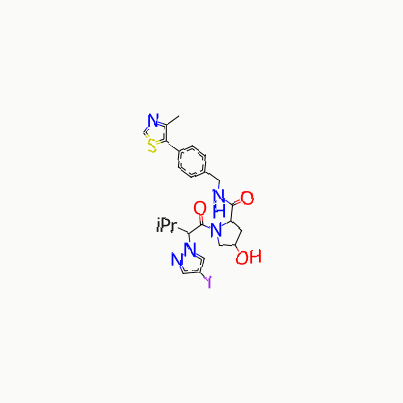 Cc1ncsc1-c1ccc(CNC(=O)C2CC(O)CN2C(=O)C(C(C)C)n2cc(I)cn2)cc1